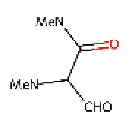 CNC(=O)C(C=O)NC